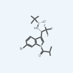 CC(C)C(=O)n1cc([C@H](N[S@@+]([O-])C(C)(C)C)C(F)(F)F)c2ccc(Br)cc21